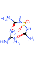 N=C(N)N.NC(=O)NS(=O)(=O)NC(N)=O